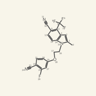 Cc1cc2c(C(F)(F)F)c(C#N)ccc2n1CCOc1ccc(C#N)c(F)c1